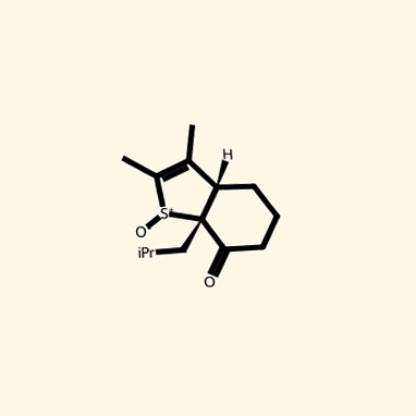 CC1=C(C)[S+]([O-])[C@@]2(CC(C)C)C(=O)CCC[C@@H]12